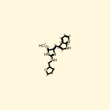 Cl.O=C1NC(NCC2CCCO2)=NC1=Cc1c[nH]c2ncccc12